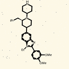 CCn1c(-c2ccc(OC)c(OC)c2)nc2cc(C3CCN(C4CCNCC4)[C@H](CC(C)C)C3)ccc21